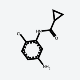 Nc1ccc(Cl)c(NC(=O)C2CC2)c1